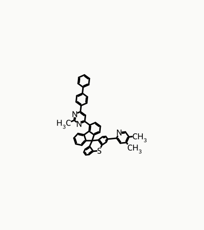 Cc1nc(-c2ccc(-c3ccccc3)cc2)cc(-c2cccc3c2-c2ccccc2C32c3ccccc3Sc3cc(-c4cc(C)c(C)cn4)ccc32)n1